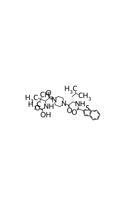 CC(C)C[C@H](NC(=O)c1cc2ccccc2s1)C(=O)N1CCN(C(=O)C(NC(=O)O)C(C)(C)C)CC1